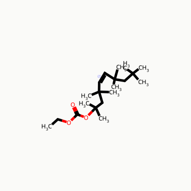 CCOC(=O)OC(C)(C)CC(C)(C)/C=C\C(C)(C)CC(C)(C)C